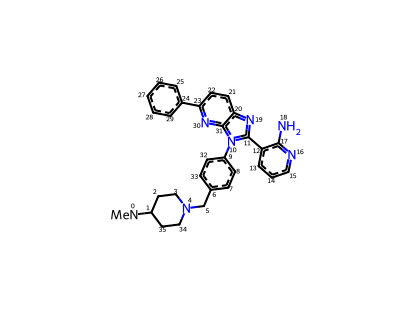 CNC1CCN(Cc2ccc(-n3c(-c4cccnc4N)nc4ccc(-c5ccccc5)nc43)cc2)CC1